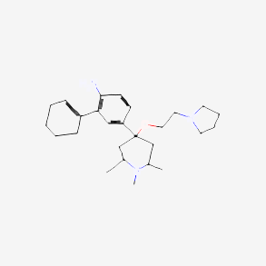 CC1CC(OCCN2CCCC2)(c2ccc(N)c(C3=CCCCC3)c2)CC(C)N1C